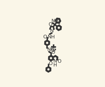 CC(C)(C)[Si](C)(C)OC(CNCc1ccc(C(=O)NCCN2CCC(C(C(N)=O)(c3ccccc3)c3ccccc3)C2)cc1)c1ccc(OCc2ccccc2)c2[nH]c(=O)ccc12